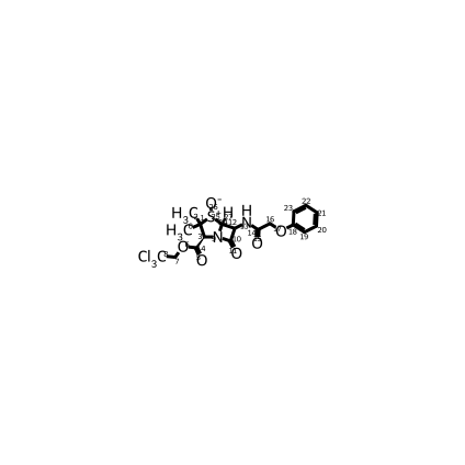 CC1(C)[C@H](C(=O)OCC(Cl)(Cl)Cl)N2C(=O)C(NC(=O)COc3ccccc3)[C@H]2[S+]1[O-]